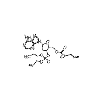 C=CCOC(=O)OC[C@H]1O[C@@H](n2cnc3c(N)ncnc32)C[C@@H]1OP(=O)(OCC=C)OCCC#N